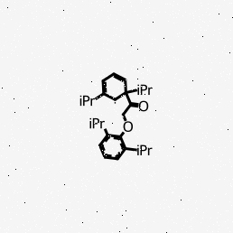 CC(C)C1=CC=CC(C(=O)COc2c(C(C)C)cccc2C(C)C)(C(C)C)[CH]1